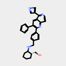 OC[C@@H]1CCCCC1NCc1ccc(-c2nc3ccnc(-c4cn[nH]c4)c3cc2-c2ccccc2)cc1